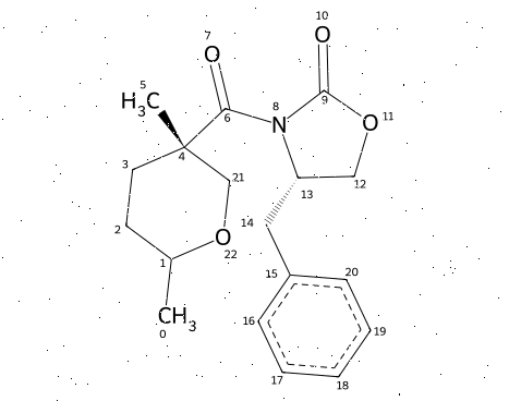 CC1CC[C@](C)(C(=O)N2C(=O)OC[C@@H]2Cc2ccccc2)CO1